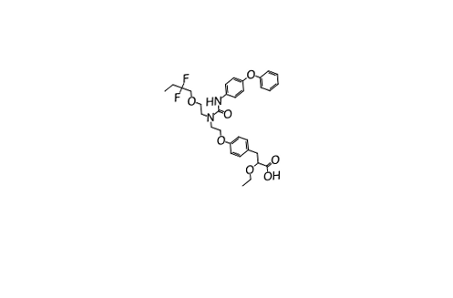 CCOC(Cc1ccc(OCCN(CCOCC(F)(F)CC)C(=O)Nc2ccc(Oc3ccccc3)cc2)cc1)C(=O)O